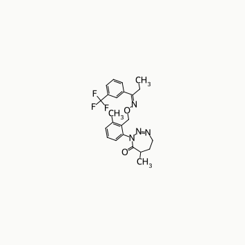 CC/C(=N/OCc1c(C)cccc1N1N=NCCC(C)C1=O)c1cccc(C(F)(F)F)c1